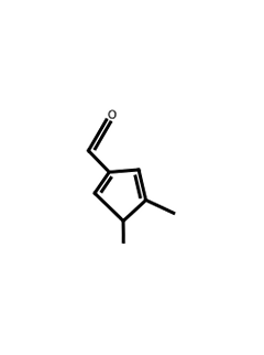 CC1=CC(C=O)=CC1C